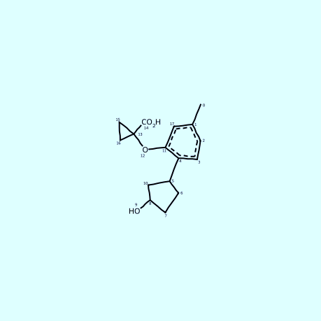 Cc1ccc(C2CCC(O)C2)c(OC2(C(=O)O)CC2)c1